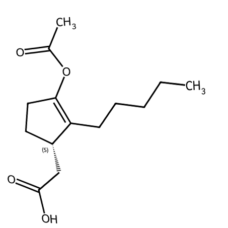 CCCCCC1=C(OC(C)=O)CC[C@H]1CC(=O)O